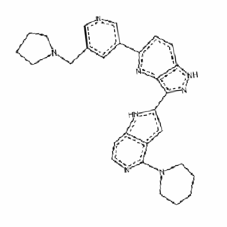 c1cc2[nH]c(-c3n[nH]c4ccc(-c5cncc(CN6CCCC6)c5)nc34)cc2c(N2CCCCC2)n1